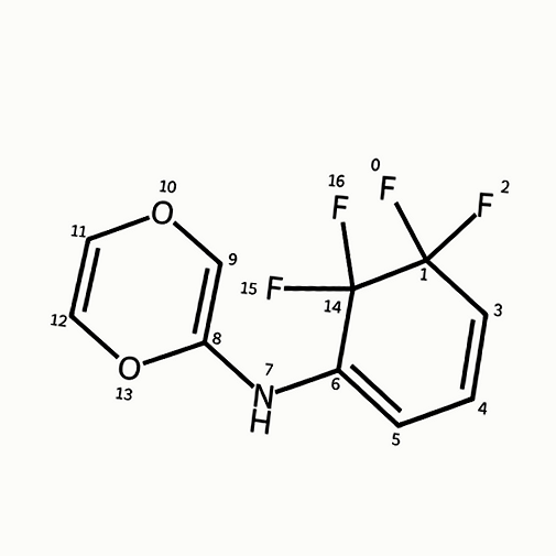 FC1(F)C=CC=C(NC2=COC=CO2)C1(F)F